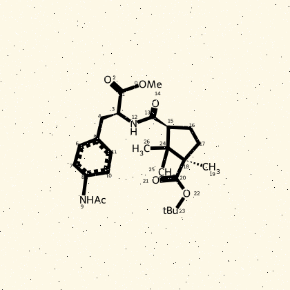 COC(=O)[C@H](Cc1ccc(NC(C)=O)cc1)NC(=O)[C@H]1CC[C@@](C)(C(=O)OC(C)(C)C)C1(C)C